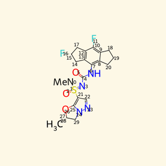 CN[S@@](=O)(=NC(=O)Nc1c2c(c(F)c3c1C[C@H](F)C3)CCC2)c1cnn2c1O[C@@H](C)C2